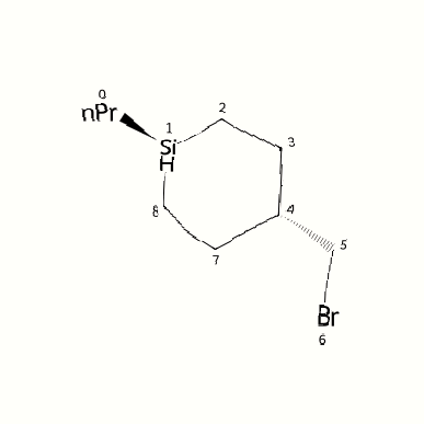 CCC[Si@H]1CC[C@H](CBr)CC1